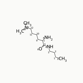 CCCCNC(=O)C(N)CCCCN(C)C